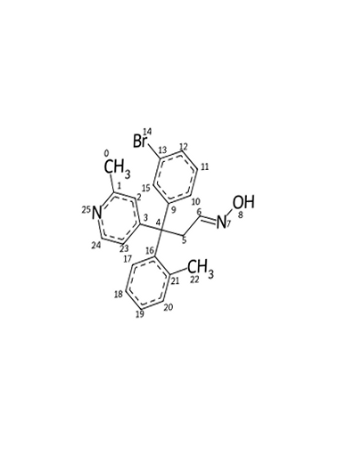 Cc1cc(C(CC=NO)(c2cccc(Br)c2)c2ccccc2C)ccn1